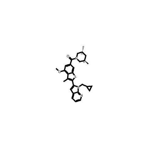 COc1cc(C(=O)N2C[C@H](C)C[C@@H](F)C2)cc2sc(-c3cc4cccnc4n3CC3CC3)c(C)c12